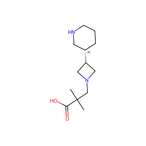 CC(C)(CN1CC([C@H]2CCCNC2)C1)C(=O)O